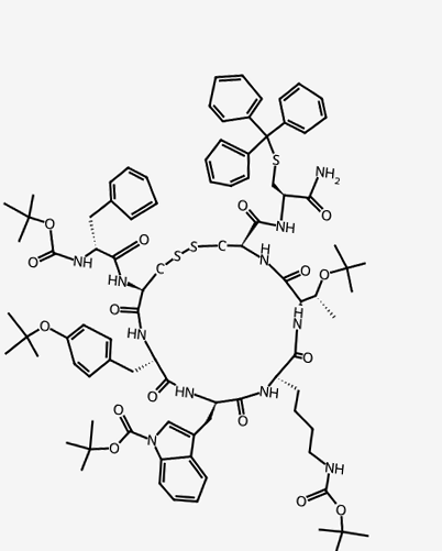 C[C@@H](OC(C)(C)C)[C@@H]1NC(=O)[C@H](CCCCNC(=O)OC(C)(C)C)NC(=O)[C@@H](Cc2cn(C(=O)OC(C)(C)C)c3ccccc23)NC(=O)[C@H](Cc2ccc(OC(C)(C)C)cc2)NC(=O)[C@@H](NC(=O)[C@@H](Cc2ccccc2)NC(=O)OC(C)(C)C)CSSC[C@@H](C(=O)N[C@@H](CSC(c2ccccc2)(c2ccccc2)c2ccccc2)C(N)=O)NC1=O